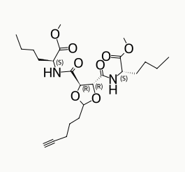 C#CCCCC1O[C@@H](C(=O)N[C@@H](CCCC)C(=O)OC)[C@H](C(=O)N[C@@H](CCCC)C(=O)OC)O1